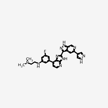 CN(C)CCNc1cc(F)cc(-c2ccnc3[nH]c(-c4n[nH]c5cnc(-c6cn[nH]c6)cc45)nc23)c1